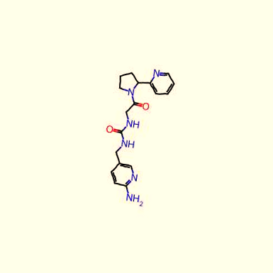 Nc1ccc(CNC(=O)NCC(=O)N2CCCC2c2ccccn2)cn1